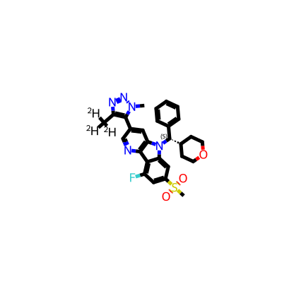 [2H]C([2H])([2H])c1nnn(C)c1-c1cnc2c3c(F)cc(S(C)(=O)=O)cc3n([C@H](c3ccccc3)C3CCOCC3)c2c1